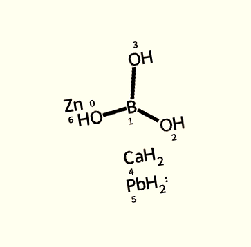 OB(O)O.[CaH2].[PbH2].[Zn]